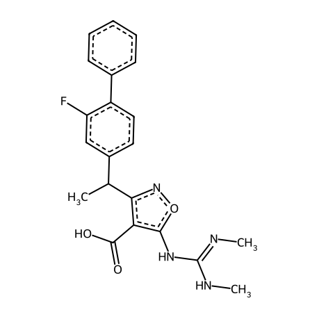 CN=C(NC)Nc1onc(C(C)c2ccc(-c3ccccc3)c(F)c2)c1C(=O)O